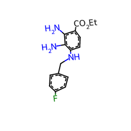 CCOC(=O)c1ccc(NCc2ccc(F)cc2)c(N)c1N